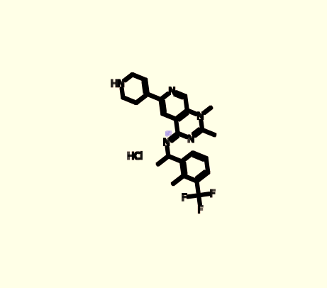 Cc1c(C(C)/N=c2\nc(C)n(C)c3cnc(C4=CCNCC4)cc23)cccc1C(F)(F)F.Cl